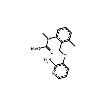 COC(=O)N(C)c1cccc(C)c1COc1cccnc1N